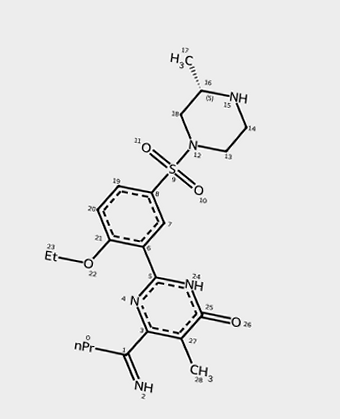 CCCC(=N)c1nc(-c2cc(S(=O)(=O)N3CCN[C@@H](C)C3)ccc2OCC)[nH]c(=O)c1C